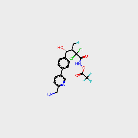 NCc1ccc(-c2ccc([C@H](O)[C@@H](CF)C(Cl)(Cl)C(=O)NOC(=O)C(F)(F)F)cc2)cn1